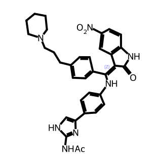 CC(=O)Nc1nc(-c2ccc(N/C(=C3\C(=O)Nc4ccc([N+](=O)[O-])cc43)c3ccc(CCCN4CCCCC4)cc3)cc2)c[nH]1